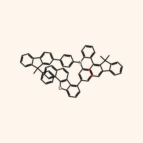 CC1(C)c2ccccc2-c2cccc(-c3ccccc3N(c3ccc(-c4ccc5c(c4)C(C)(c4ccccc4)c4ccccc4-5)cc3)c3cccc(-c4cccc5oc6c7ccccc7ccc6c45)c3)c21